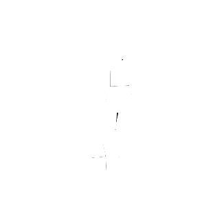 CC1(C)OC2CC([C@H]3COC(C)(C)O3)OC2O1